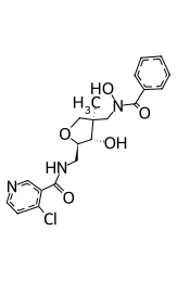 C[C@@]1(CN(O)C(=O)c2ccccc2)CO[C@H](CNC(=O)c2cnccc2Cl)[C@H]1O